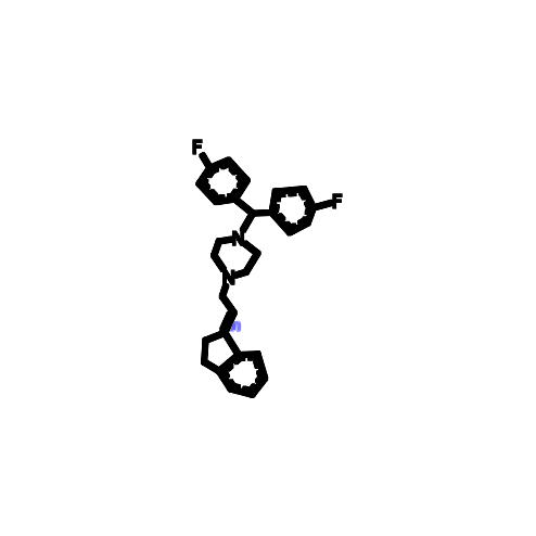 Fc1ccc(C(c2ccc(F)cc2)N2CCN(C/C=C3\CCc4ccccc43)CC2)cc1